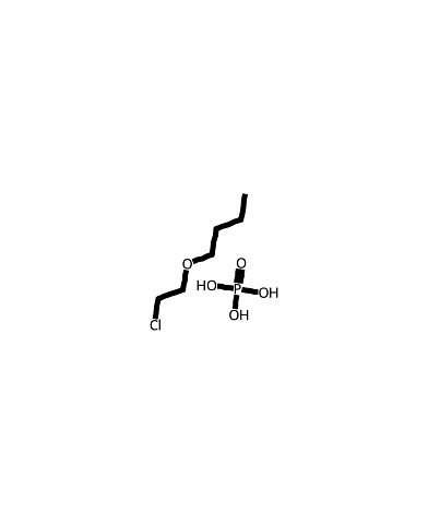 CCCCOCCCl.O=P(O)(O)O